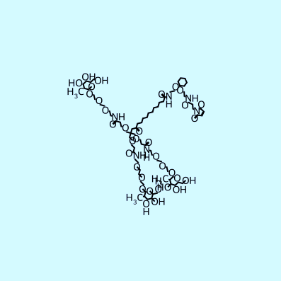 CC1C(OCCOCCOCCNC(=O)CCOCC(COCCC(=O)NCCOCCOCCOC2OC(CO)C(O)C(O)C2C)(COCCC(=O)NCCOCCOCCOC2OC(CO)C(O)C(O)C2C)CC(=O)CCCCCCCCCCC(=O)NCCOC2(OCCNC(=O)CCN3C(=O)C=CC3=O)CCCCC2)OC(CO)C(O)C1O